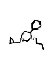 CCCC[C@@H]1CN(CC2CC2)CCC1c1ccccc1